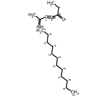 CC(=N)C(=O)O.CCC(=O)O.CCCCCCCCCCCC